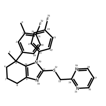 Cc1cc(C2(C)CCCc3nc(SCc4ncccn4)n(-c4ccc(F)cc4)c32)ccc1F